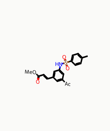 COC(=O)C=Cc1cc(NS(=O)(=O)c2ccc(C)cc2)cc(C(C)=O)c1